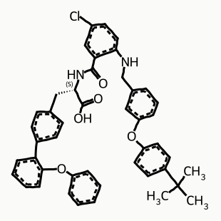 CC(C)(C)c1ccc(Oc2cccc(CNc3ccc(Cl)cc3C(=O)N[C@@H](Cc3ccc(-c4ccccc4Oc4ccccc4)cc3)C(=O)O)c2)cc1